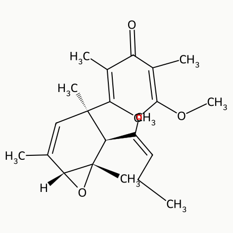 CC/C=C(/C)[C@H]1[C@]2(C)O[C@@H]2C(C)=C[C@@]1(C)c1oc(OC)c(C)c(=O)c1C